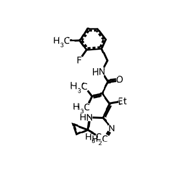 C=N/C(NC1(C)CC1)=C(\CC)C(C(=O)NCc1cccc(C)c1F)=C(C)C